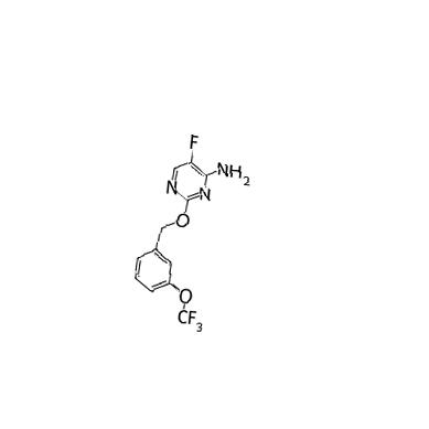 Nc1nc(OCc2cccc(OC(F)(F)F)c2)ncc1F